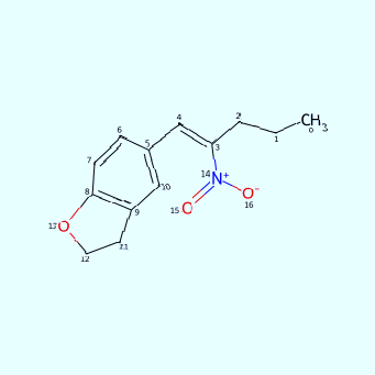 CCCC(=Cc1ccc2c(c1)CCO2)[N+](=O)[O-]